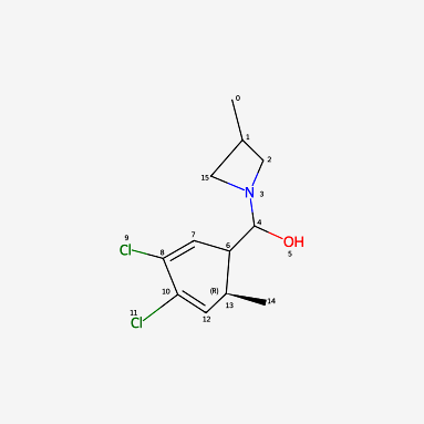 CC1CN(C(O)C2C=C(Cl)C(Cl)=C[C@@H]2C)C1